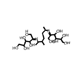 CC(CCC(C)C(C)N=C(CO)C(O)C(O)C(O)CO)N=C(CO)C(O)C(O)C(O)CO